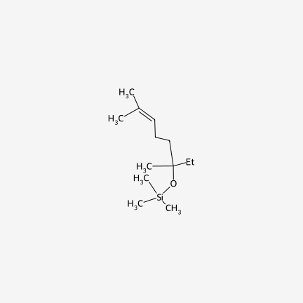 CCC(C)(CCC=C(C)C)O[Si](C)(C)C